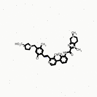 Cc1cc(/C=C/c2nccc(-c3cccc(NC(=O)c4nc5c(n4C)CCN(C)C5)c3C)c2C#N)c(Cl)cc1CN1CC[C@@H](C(=O)O)C1